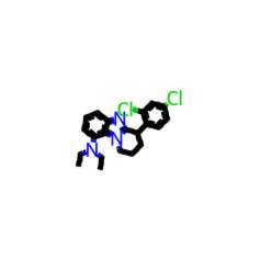 CCN(CC)c1cccc2nc3n(c12)CCCC3c1ccc(Cl)cc1Cl